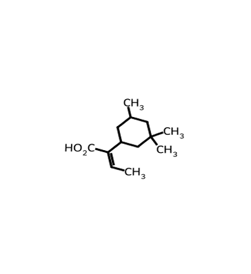 C/C=C(/C(=O)O)C1CC(C)CC(C)(C)C1